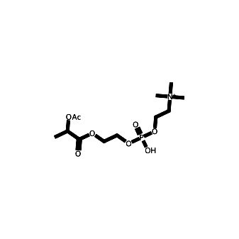 CC(=O)OC(C)C(=O)OCCOP(=O)(O)OCC[N+](C)(C)C